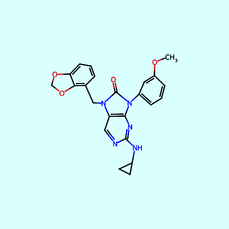 COc1cccc(-n2c(=O)n(Cc3cccc4c3OCO4)c3cnc(NC4CC4)nc32)c1